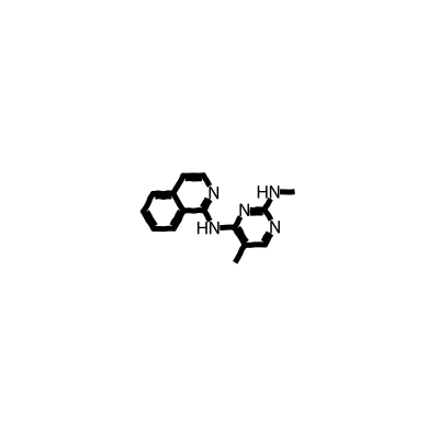 CNc1ncc(C)c(Nc2nccc3ccccc23)n1